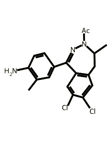 CC(=O)N1N=C(c2ccc(N)c(C)c2)c2cc(Cl)c(Cl)cc2CC1C